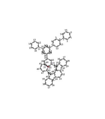 c1ccc(-c2ccc(-c3nc(-c4ccccc4)nc(-c4cccc(-n5c6ccccc6c6ccc7c8ccccc8n(-c8ccccc8)c7c65)c4)n3)cc2)cc1